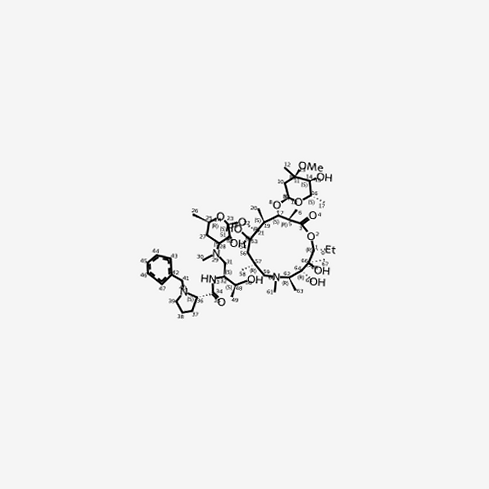 CC[C@H]1OC(=O)[C@H](C)[C@@H](O[C@H]2C[C@@](C)(OC)[C@@H](O)[C@H](C)O2)[C@H](C)[C@@H](O[C@@H]2O[C@H](C)C[C@H](N(C)C[C@H](NC(=O)[C@@H]3CCCN3Cc3ccccc3)[C@H](C)O)[C@H]2O)[C@](C)(O)C[C@@H](C)CN(C)[C@H](C)[C@@H](O)[C@]1(C)O